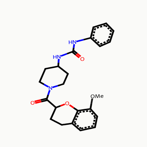 COc1cccc2c1OC(C(=O)N1CCC(NC(=O)Nc3ccccc3)CC1)CC2